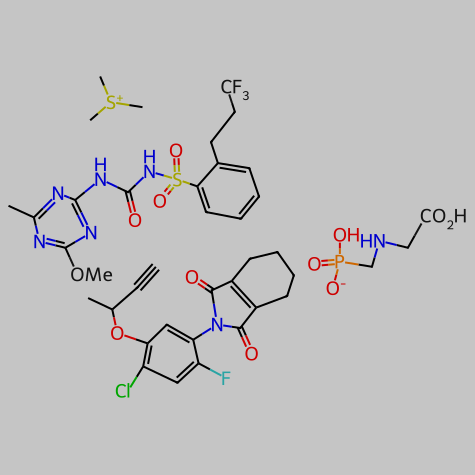 C#CC(C)Oc1cc(N2C(=O)C3=C(CCCC3)C2=O)c(F)cc1Cl.COc1nc(C)nc(NC(=O)NS(=O)(=O)c2ccccc2CCC(F)(F)F)n1.C[S+](C)C.O=C(O)CNCP(=O)([O-])O